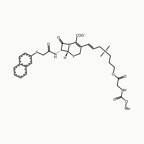 CC(C)(C)OC(=O)NCC(=O)OCCC[N+](C)(C)C/C=C/C1=C(C(=O)[O-])N2C(=O)[C@@H](NC(=O)CSc3ccc4ccccc4c3)[C@H]2SC1